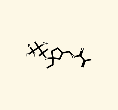 C=C(C)C(=O)OCC1CCC(CC)(OC(C)(C)C(C)(O)C(F)(F)F)C1